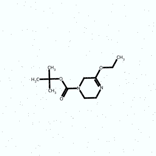 CCOC1=NCCN(C(=O)OC(C)(C)C)C1